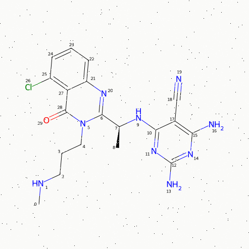 CNCCCn1c([C@H](C)Nc2nc(N)nc(N)c2C#N)nc2cccc(Cl)c2c1=O